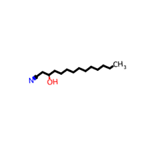 CCCCCCCCCCC[C@@H](O)CC#N